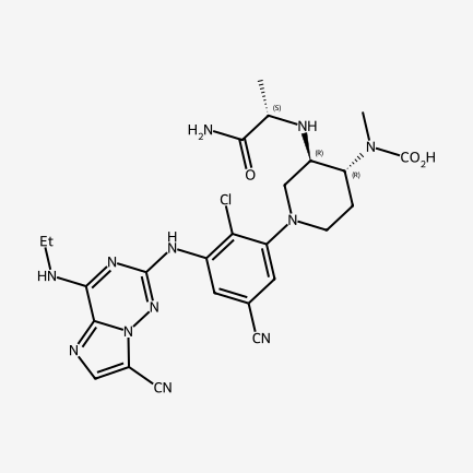 CCNc1nc(Nc2cc(C#N)cc(N3CC[C@@H](N(C)C(=O)O)[C@H](N[C@@H](C)C(N)=O)C3)c2Cl)nn2c(C#N)cnc12